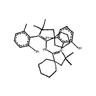 Cc1cccc(C(C)C)c1[N+]1=C(BC2=[N+](c3c(C(C)C)cccc3C(C)C)C(C)(C)CC23CCCCC3)C2(CCCCC2)CC1(C)C